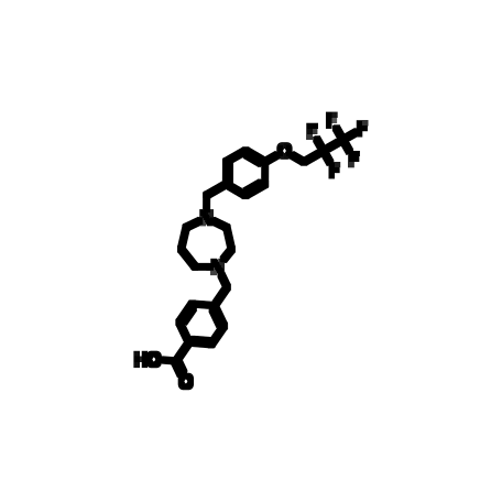 O=C(O)c1ccc(CN2CCCN(Cc3ccc(OCC(F)(F)C(F)(F)F)cc3)CC2)cc1